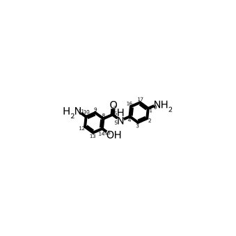 Nc1ccc(NC(=O)c2cc(N)ccc2O)cc1